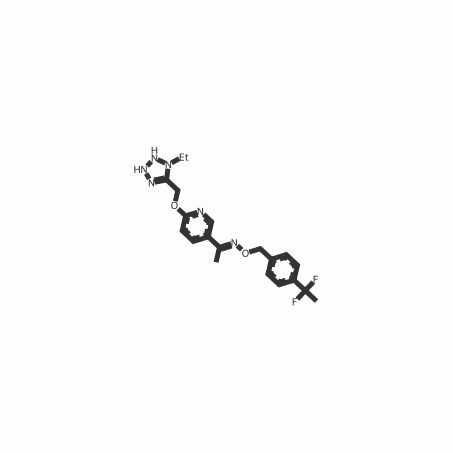 CCN1NNN=C1COc1ccc(C(C)=NOCc2ccc(C(C)(F)F)cc2)cn1